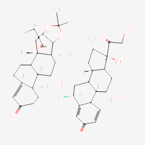 CC1(C)O[C@@H]2C[C@H]3[C@@H]4CCC5=CC(=O)CC[C@]5(C)[C@@]4(F)[C@@H](O)C[C@]3(C)[C@]2(C(=O)CCl)O1.C[C@H]1C[C@H]2[C@@H]3C[C@H](F)C4=CC(=O)C=C[C@]4(C)[C@@]3(F)[C@@H](O)C[C@]2(C)[C@@]1(O)C(=O)CO